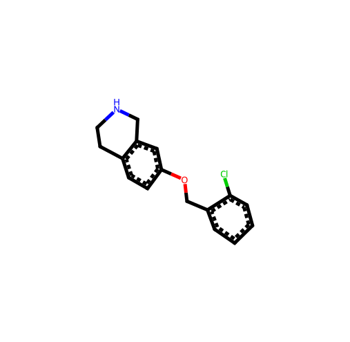 Clc1ccccc1COc1ccc2c(c1)CNCC2